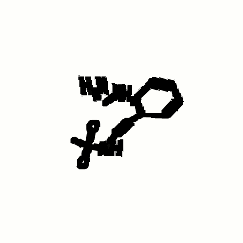 CN.CS(=O)(=O)NC#Cc1ccccc1.N